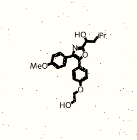 COc1ccc(-c2nc(C(O)CC(C)C)oc2-c2ccc(OCCO)cc2)cc1